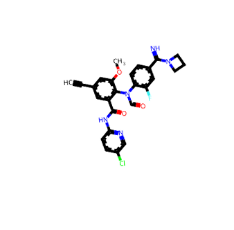 C#Cc1cc(OC)c(N(C=O)c2ccc(C(=N)N3CCC3)cc2F)c(C(=O)Nc2ccc(Cl)cn2)c1